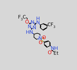 CCC(=O)Nc1ccc(S(=O)(=O)N2CCC(Nc3nc(Nc4cccc(C(F)(F)F)c4)nc(OCC(F)(F)F)n3)CC2)cc1